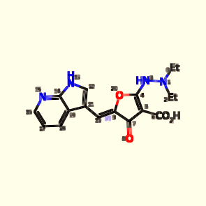 CCN(CC)NC1=C(C(=O)O)C(=O)/C(=C/c2c[nH]c3ncccc23)O1